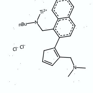 CCCC[N]([Ti+2])Cc1c(C2=C(CN(C)C)C=CC2)ccc2ccccc12.[Cl-].[Cl-]